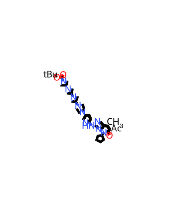 CC(=O)c1c(C)c2cnc(Nc3ccc(N4CCN(C5CN(C6CN(C7CN(C(=O)OC(C)(C)C)C7)C6)C5)CC4)cn3)nc2n(C2CCCC2)c1=O